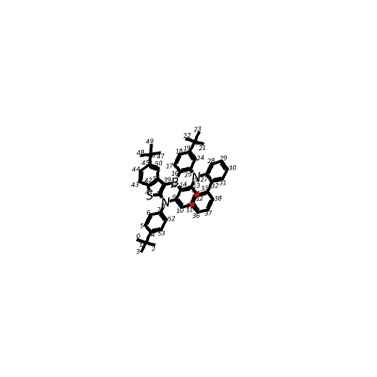 CC(C)(C)c1ccc(N2c3cccc4c3B(c3ccc(C(C)(C)C)cc3N4c3ccccc3-c3ccccc3)c3c2sc2ccc(C(C)(C)C)cc32)cc1